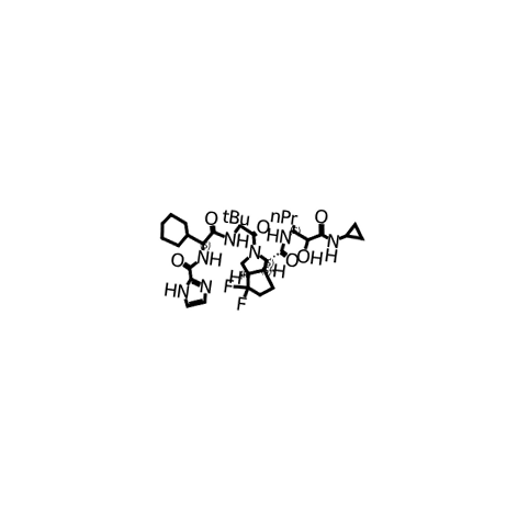 CCC[C@H](NC(=O)[C@@H]1[C@H]2CCC(F)(F)[C@H]2CN1C(=O)C(NC(=O)[C@@H](NC(=O)c1ncc[nH]1)C1CCCCC1)C(C)(C)C)C(O)C(=O)NC1CC1